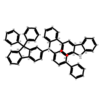 c1ccc(-c2ccc(N(c3ccc4c(c3)C(c3ccccc3)(c3ccccc3)c3ccccc3-4)c3ccccc3-c3ccc4oc5ccccc5c4c3)cc2)cc1